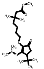 COC(=O)CC(C)(C)CCCCSC1=C(O[SiH](C)C)C(C(C)(C)C)CC1=O